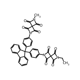 CCN1C(=O)C2(C1=O)C(=O)N(c1ccc(C3(c4ccc(N5C(=O)C6(C(=O)N(C)C6=O)C5=O)cc4)c4ccccc4-c4ccccc43)cc1)C2=O